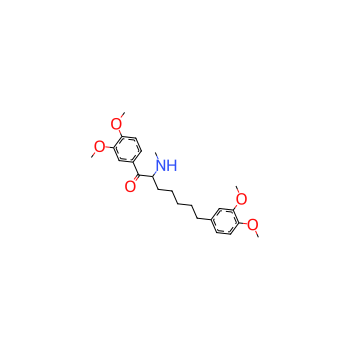 CNC(CCCCCc1ccc(OC)c(OC)c1)C(=O)c1ccc(OC)c(OC)c1